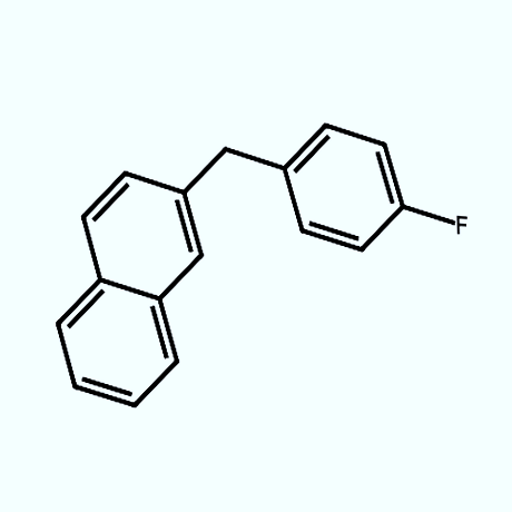 Fc1ccc(Cc2ccc3ccccc3c2)cc1